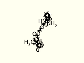 C[C@H]1CN(C(=O)OCCCOCC(=O)Nc2c(N)oc3ccccc23)CC[C@]1(F)c1cc(Cl)cnc1F